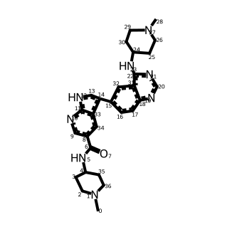 CN1CCC(NC(=O)c2cnc3[nH]cc(-c4ccc5ncnc(NC6CCN(C)CC6)c5c4)c3c2)CC1